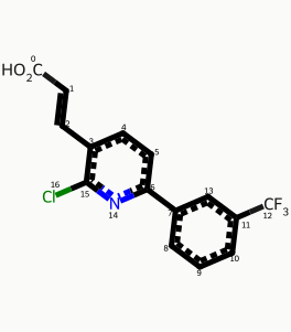 O=C(O)C=Cc1ccc(-c2cccc(C(F)(F)F)c2)nc1Cl